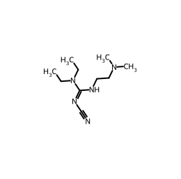 CCN(CC)/C(=N/C#N)NCCN(C)C